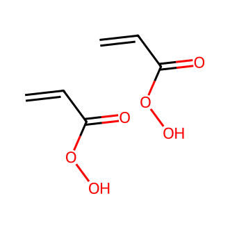 C=CC(=O)OO.C=CC(=O)OO